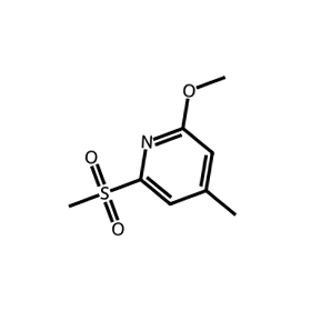 COc1cc(C)cc(S(C)(=O)=O)n1